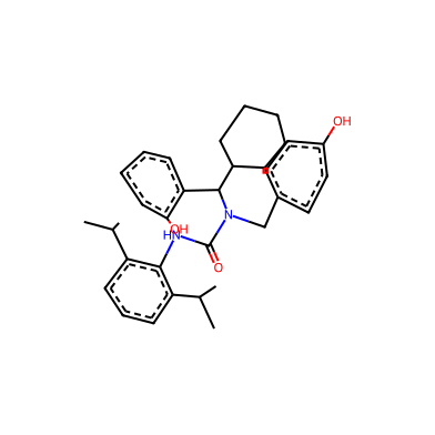 CC(C)c1cccc(C(C)C)c1NC(=O)N(Cc1ccc(O)cc1)C(c1ccccc1O)C1CCCCC1